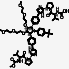 COCCOCCO[C@H]1[C@H](OCCOCCOC)[C@H](c2ccc(-c3cnc([C@@H]4CCCN4C(=O)[C@@H](NC(=O)OC)C(C)C)[nH]3)cc2)N(c2ccc(C(C)(C)C)cc2)[C@H]1c1ccc(-c2cnc([C@@H]3CCCN3C(=O)[C@@H](NC(=O)O)C(C)C)[nH]2)cc1